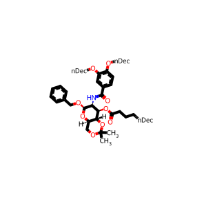 CCCCCCCCCCCCCC(=O)O[C@@H]1[C@@H](NC(=O)c2ccc(OCCCCCCCCCC)c(OCCCCCCCCCC)c2)[C@H](OCc2ccccc2)O[C@@H]2COC(C)(C)O[C@@H]12